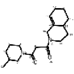 CC1CCCN(C(=O)CC(=O)N2CCC3CCCC=C3C2)C1